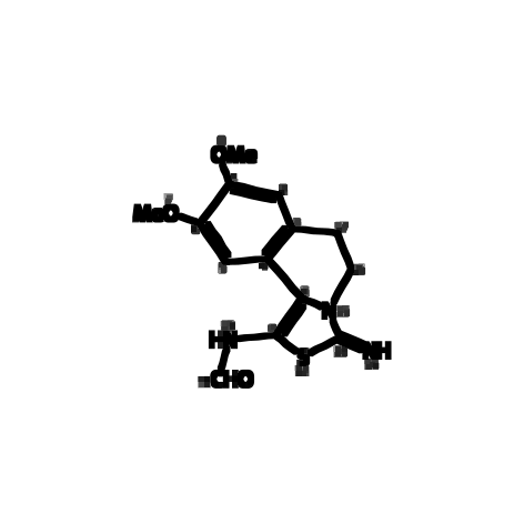 COc1cc2c(cc1OC)-c1c(NC=O)sc(=N)n1CC2